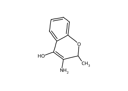 CC1Oc2ccccc2C(O)=C1N